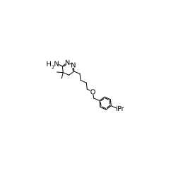 CC(C)c1ccc(COCCCCC2=NN=C(N)C(C)(C)C2)cc1